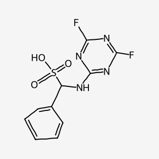 O=S(=O)(O)C(Nc1nc(F)nc(F)n1)c1ccccc1